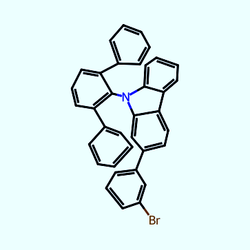 Brc1cccc(-c2ccc3c4ccccc4n(-c4c(-c5ccccc5)cccc4-c4ccccc4)c3c2)c1